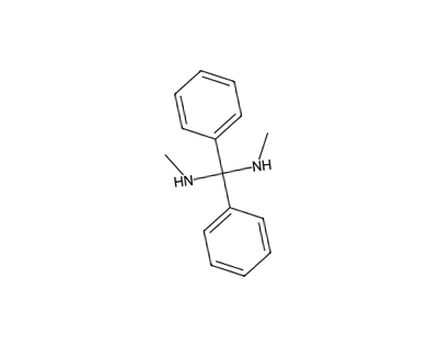 CNC(NC)(c1ccccc1)c1ccccc1